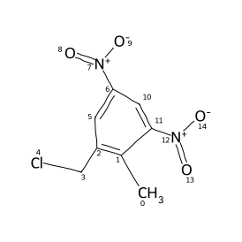 Cc1c(CCl)cc([N+](=O)[O-])cc1[N+](=O)[O-]